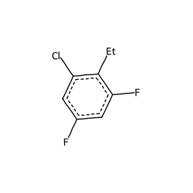 [CH2]Cc1c(F)cc(F)cc1Cl